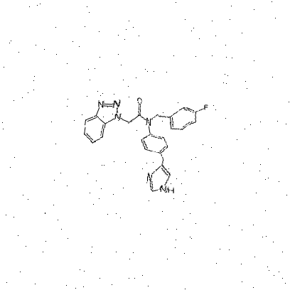 O=C(Cn1nnc2ccccc21)N(Cc1cccc(F)c1)c1ccc(-c2c[nH]cn2)cc1